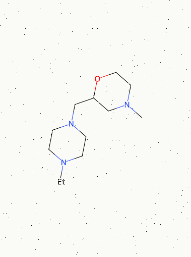 CCN1CCN(CC2CN(C)CCO2)CC1